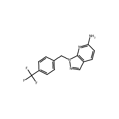 Nc1ccc2cnn(Cc3ccc(C(F)(F)F)cc3)c2n1